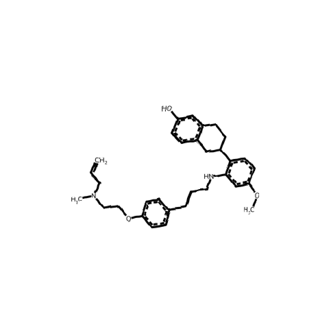 C=CCN(C)CCOc1ccc(CCCNc2cc(OC)ccc2C2CCc3cc(O)ccc3C2)cc1